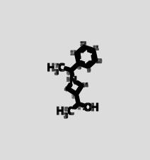 CC(O)C1CN(C(C)c2ccccc2)C1